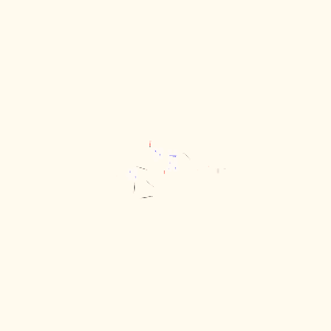 CC(C)OCCCNC(=O)C1c2c(n(C)c3ccccc23)SCC(=O)N1CCC1=CCCCC1